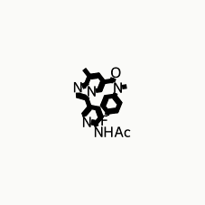 CC(=O)Nc1ccc(-c2cnc3c(C)cc(C(=O)N(C)c4ccc(F)cc4)cn23)cn1